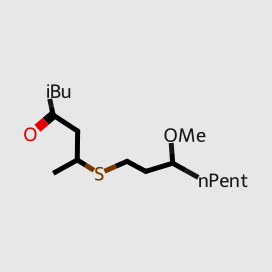 CCCCCC(CCSC(C)CC(=O)C(C)CC)OC